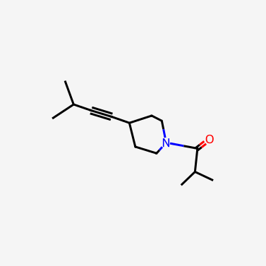 CC(C)C#CC1CCN(C(=O)C(C)C)CC1